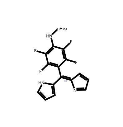 CCCCCCNc1c(F)c(F)c(/C(=C2\C=CC=N2)c2ccc[nH]2)c(F)c1F